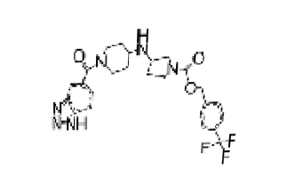 O=C(OCc1ccc(C(F)(F)F)cc1)N1CCC(NC2CCN(C(=O)c3ccc4[nH]nnc4c3)CC2)C1